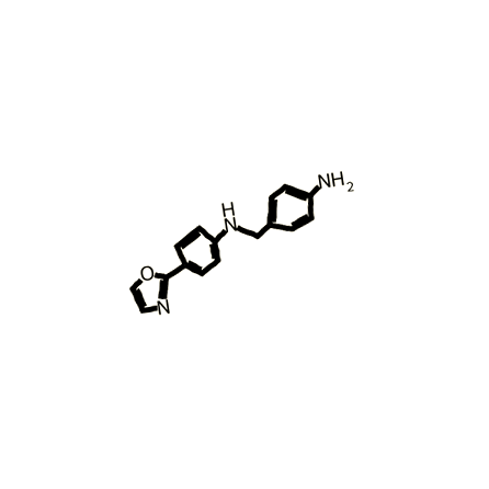 Nc1ccc(CNc2ccc(-c3ncco3)cc2)cc1